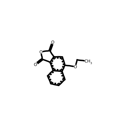 CCOc1cc2c(c3ccccc13)C(=O)OC2=O